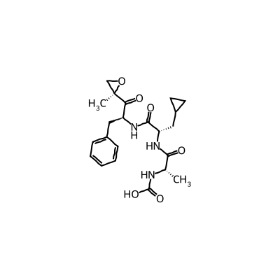 C[C@H](NC(=O)O)C(=O)N[C@@H](CC1CC1)C(=O)N[C@@H](Cc1ccccc1)C(=O)[C@@]1(C)CO1